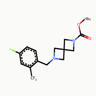 CCCCOC(=O)N1CC2(CN(Cc3ccc(F)cc3C(F)(F)F)C2)C1